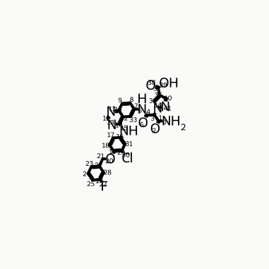 NC(=O)C(C(=O)Nc1ccc2ncnc(Nc3ccc(OCc4cccc(F)c4)c(Cl)c3)c2c1)n1cc(C(=O)O)cn1